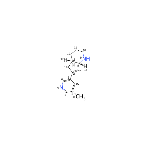 Cc1cncc(C2=C[C@H]3NCCC[C@H]3C2)c1